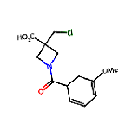 COC1=CC=CC(C(=O)N2CC(CCl)(C(=O)O)C2)C1